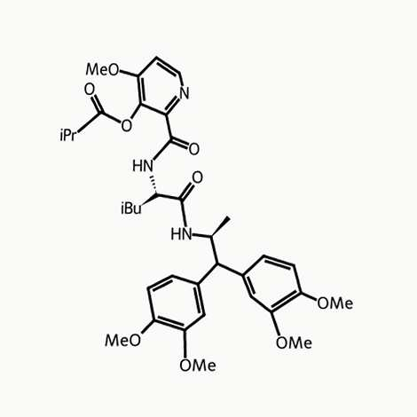 CC[C@H](C)[C@H](NC(=O)c1nccc(OC)c1OC(=O)C(C)C)C(=O)N[C@@H](C)C(c1ccc(OC)c(OC)c1)c1ccc(OC)c(OC)c1